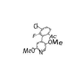 COc1cc(-c2c(C(C)=O)ccc(Cl)c2F)c(OC)cn1